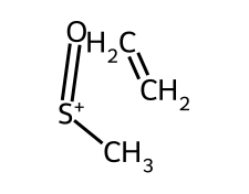 C=C.C[S+]=O